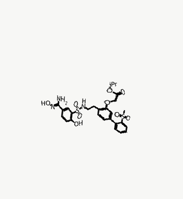 CC(C)OC(=O)COc1cc(-c2ccccc2S(C)(=O)=O)ccc1CCNS(=O)(=O)c1cc(C(N)=NO)ccc1O